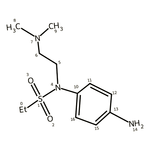 CCS(=O)(=O)N(CCN(C)C)c1ccc(N)cc1